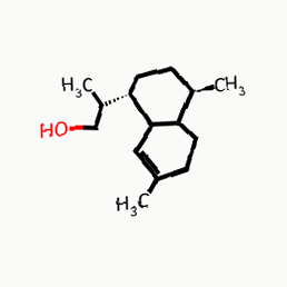 CC1=CC2C(CC1)[C@H](C)CC[C@H]2C(C)CO